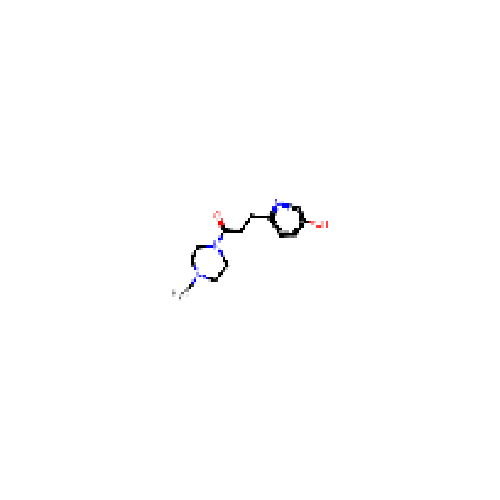 CN1CCN(C(=O)CCc2ccc(O)cn2)CC1